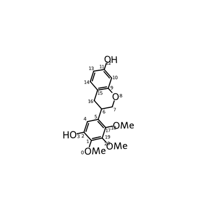 COc1c(O)cc(C2COc3cc(O)ccc3C2)c(OC)c1OC